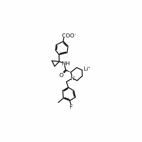 Cc1cc(CN2CCCC[C@@H]2C(=O)NC2(c3ccc(C(=O)[O-])cc3)CC2)ccc1F.[Li+]